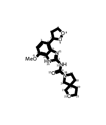 COc1ccc(C2CCOO2)c2nc(NC(=O)N3CCC4(CCOC4)C3)[nH]c12